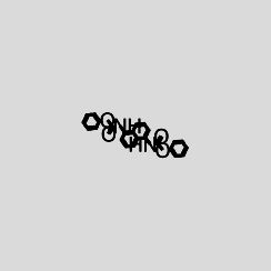 O=C(Nc1cccc2c(NC(=O)Oc3ccccc3)cccc12)Oc1ccccc1